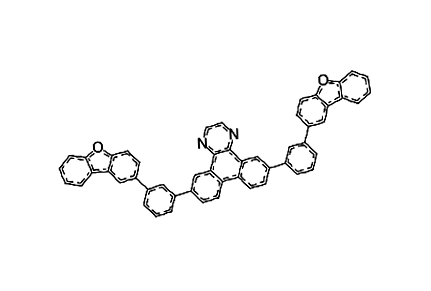 c1cc(-c2ccc3oc4ccccc4c3c2)cc(-c2ccc3c4ccc(-c5cccc(-c6ccc7oc8ccccc8c7c6)c5)cc4c4nccnc4c3c2)c1